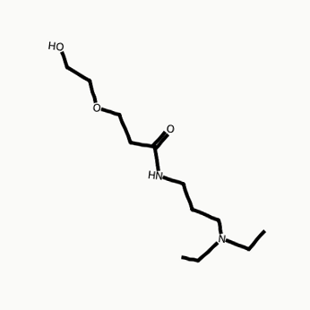 CCN(CC)CCCNC(=O)CCOCCO